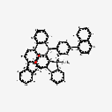 CC1(C)c2ccccc2-c2cccc(N(c3ccc(-c4cccc5ccccc45)cc3)c3ccccc3-c3ccc4c(c3)sc3ccccc34)c21